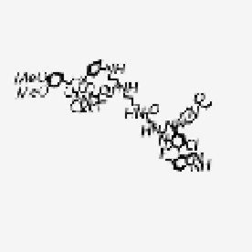 C=CC(=O)N1CCN(c2nc(NCCC(=O)NCCCCNC(=O)CCNc3cccc([C@@H](CCc4ccc(OC)c(OC)c4)OC(=O)[C@@H]4CCCCN4C(=O)C(=O)C(C)(C)CC)c3)nc3c(F)c(-c4c(C)ccc5[nH]ncc45)c(Cl)cc23)CC1